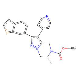 C[C@@H]1Cn2nc(-c3ccc4ccsc4c3)c(-c3ccncc3)c2CN1C(=O)OC(C)(C)C